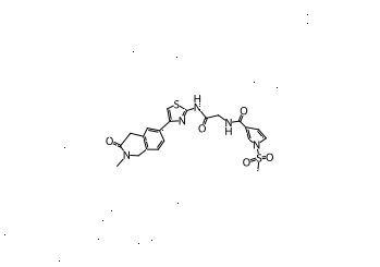 CN1Cc2ccc(-c3csc(NC(=O)CNC(=O)c4ccn(S(C)(=O)=O)c4)n3)cc2CC1=O